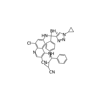 BC(Nc1cc(Cl)c2ncc(C#N)c(NC(c3ccccc3)C3CC3C#N)c2c1)(c1ccc(F)cc1)c1cn(C2CC2)nn1